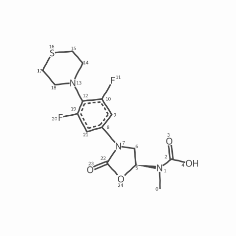 CN(C(=O)O)[C@@H]1CN(c2cc(F)c(N3CCSCC3)c(F)c2)C(=O)O1